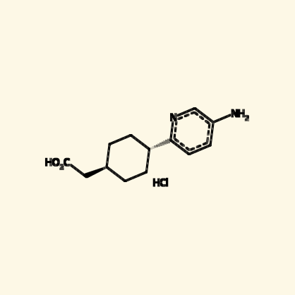 Cl.Nc1ccc([C@H]2CC[C@H](CC(=O)O)CC2)nc1